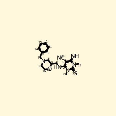 Cn1c(NCC2CN(Cc3ccccc3)CCO2)c(C#N)c(=N)n(C)c1=S